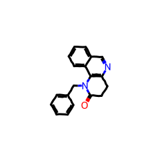 O=C1CCc2ncc3ccccc3c2N1Cc1ccccc1